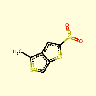 Cc1scc2sc([SH](=O)=O)cc12